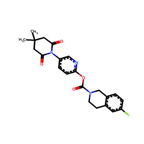 CC1(C)CC(=O)N(c2ccc(OC(=O)N3CCc4cc(F)ccc4C3)nc2)C(=O)C1